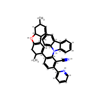 CC1C=CC2C3=C(CC(C)C(c4ccc(-c5ccccn5)c(C#N)c4-n4c5ccccc5c5ccccc54)=C3)OC2C1